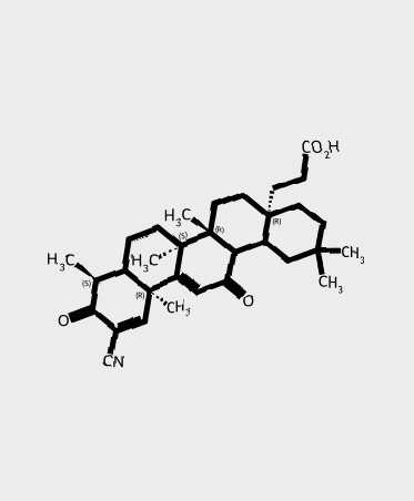 C[C@@H]1C(=O)C(C#N)=C[C@]2(C)C3=CC(=O)C4C5CC(C)(C)CC[C@]5(CCC(=O)O)CC[C@@]4(C)[C@]3(C)CCC12